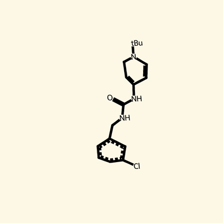 CC(C)(C)N1C=CC(NC(=O)NCc2cccc(Cl)c2)=CC1